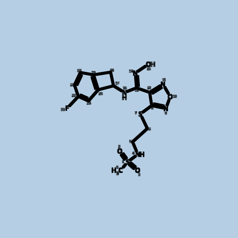 CS(=O)(=O)NCCSc1nonc1/C(=N\O)NC1Cc2ccc(F)cc21